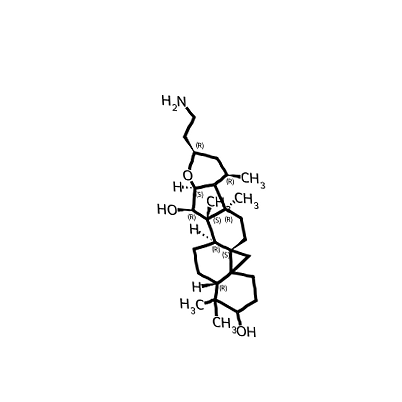 C[C@@H]1C[C@H](CCN)O[C@H]2C1[C@@]1(C)CC[C@@]34CC35CCC(O)C(C)(C)[C@@H]5CC[C@H]4[C@]1(C)[C@H]2O